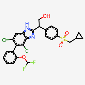 O=S(=O)(CC1CC1)c1ccc(C(CO)c2nc3c(Cl)c(-c4ccccc4OC(F)F)c(Cl)cc3[nH]2)cc1